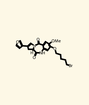 COc1cc2c(cc1OCCCCCBr)NC(=O)[C@@H]1CC(c3ccoc3)=CN1C2=O